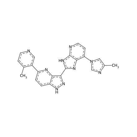 Cc1cn(-c2ccnc3[nH]c(-c4n[nH]c5ccc(-c6cnccc6C)nc45)nc23)cn1